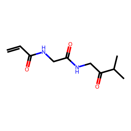 C=CC(=O)NCC(=O)NCC(=O)C(C)C